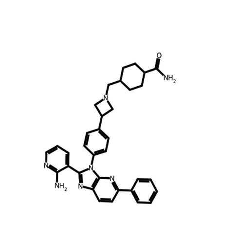 NC(=O)C1CCC(CN2CC(c3ccc(-n4c(-c5cccnc5N)nc5ccc(-c6ccccc6)nc54)cc3)C2)CC1